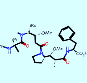 CCCN[C@](C)(C(=O)N(C)[C@@H]([C@@H](C)CC)[C@@H](CC(=O)N1CCC[C@H]1[C@H](OC)[C@@H](C)C(=O)N[C@@H](Cc1ccccc1)C(=O)O)OC)C(C)C